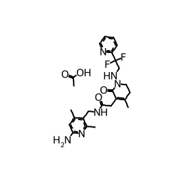 CC(=O)O.CC1=C(CC(=O)NCc2c(C)cc(N)nc2C)C(=O)N(NCC(F)(F)c2ccccn2)CC1